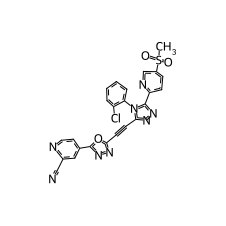 CS(=O)(=O)c1ccc(-c2nnc(C#Cc3nnc(-c4ccnc(C#N)c4)o3)n2-c2ccccc2Cl)nc1